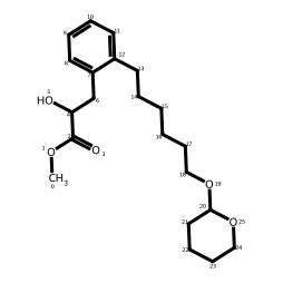 COC(=O)C(O)Cc1ccccc1CCCCCCOC1CCCCO1